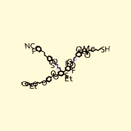 CCSc1cc(OC(=O)c2ccc(OCCCOCC3(CC)COC3)cc2)cc(/C=C/C=C2/Oc3ccc(CCc4ccc(C#N)c(F)c4)cc3CS2)c1-c1cc(F)c(OC(=O)/C=C/c2ccc(OC(=O)CCCCCS)c(OC)c2)c(F)c1